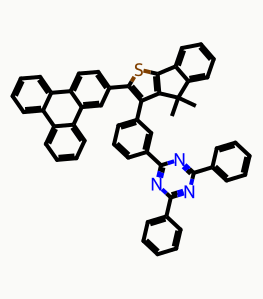 CC1(C)c2ccccc2-c2sc(-c3ccc4c5ccccc5c5ccccc5c4c3)c(-c3cccc(-c4nc(-c5ccccc5)nc(-c5ccccc5)n4)c3)c21